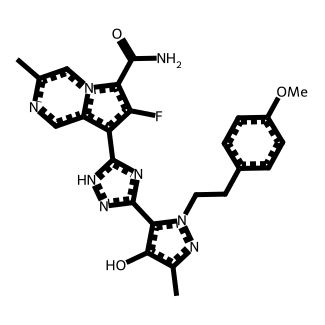 COc1ccc(CCn2nc(C)c(O)c2-c2n[nH]c(-c3c(F)c(C(N)=O)n4cc(C)ncc34)n2)cc1